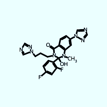 CN1c2cc(-n3cncn3)ccc2C(=O)N(CCCn2cncn2)C1(O)c1ccc(F)cc1F